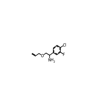 C=CCOCC(N)c1ccc(Cl)c(F)c1